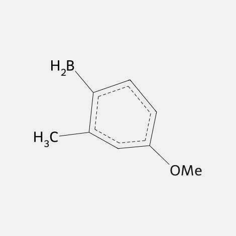 Bc1ccc(OC)cc1C